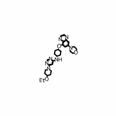 CCOC1CCN(c2cc(N[C@H]3CC[C@@H](Oc4cc(N5CCOCC5)cc5nccnc45)CC3)ncn2)CC1